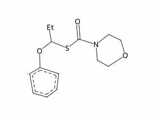 CCC(Oc1[c]cccc1)SC(=O)N1CCOCC1